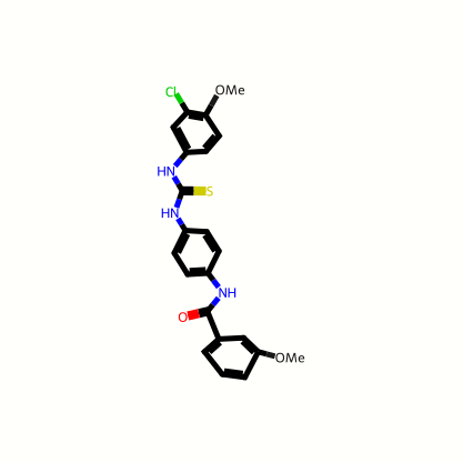 COc1cccc(C(=O)Nc2ccc(NC(=S)Nc3ccc(OC)c(Cl)c3)cc2)c1